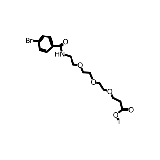 O=C(CCOCCOCCOCCNC(=O)c1ccc(Br)cc1)OI